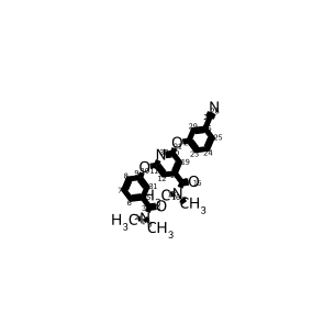 CN(C)C(=O)c1cccc(Oc2cc(C(=O)N(C)C)cc(Oc3cccc(C#N)c3)n2)c1